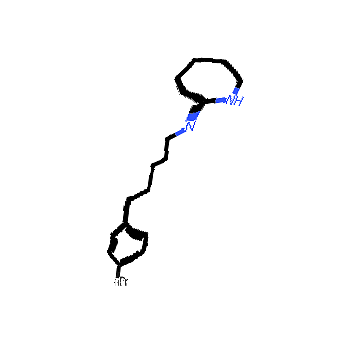 CCCc1ccc(CCCCCN=C2CCCCCN2)cc1